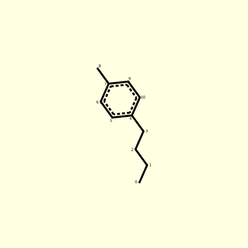 CCCCc1c[c]c(C)cc1